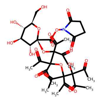 CC(=O)C(O)(C(C)=O)C(OC(C(C)=O)(C(C)=O)C(O[C@]1(C(=O)ON2C(=O)CCC2=O)O[C@H](CO)[C@@H](O)[C@H](O)[C@H]1O)(C(C)=O)C(C)=O)(C(C)=O)C(C)=O